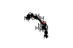 Cc1ncsc1-c1ccc([C@H](C)NC(=O)[C@@H]2C[C@@H](O)CN2C(=O)[C@@H](NC(=O)COCCCCCNc2ccc(C(=O)N[C@H]3C(C)(C)[C@H](Oc4ccc(C#N)c(C(F)(F)F)n4)C3(C)C)cc2)C(C)(C)C)cc1